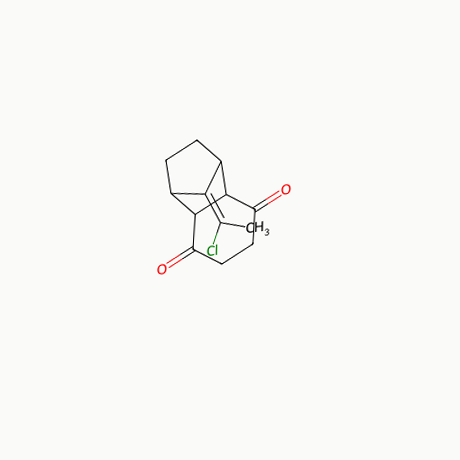 CC(Cl)=C1C2CCC1C1C(=O)CCC(=O)C21